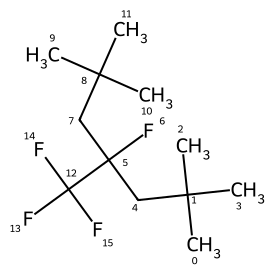 CC(C)(C)CC(F)(CC(C)(C)C)C(F)(F)F